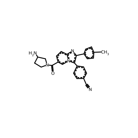 Cc1ccc(-c2nc3ccc(C(=O)N4CCC(N)C4)cn3c2-c2ccc(C#N)cc2)cc1